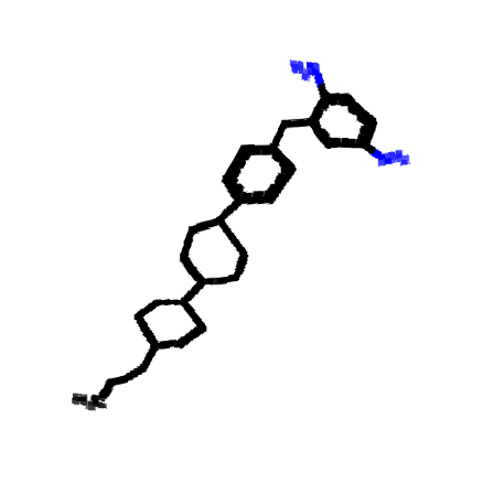 CCCC1CCC(C2CCC(c3ccc(Cc4cc(N)ccc4N)cc3)CC2)CC1